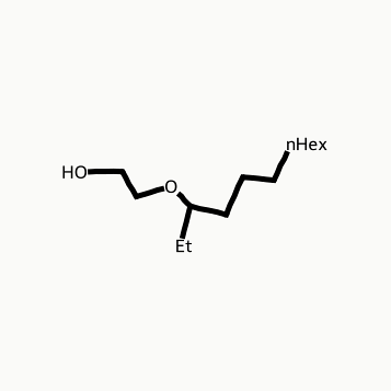 CCCCCCCCCC(CC)OCCO